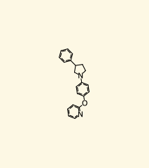 c1ccc(C2CCN(c3ccc(Oc4ccccn4)cc3)C2)cc1